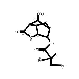 CC(C)CC(C)(C(=O)OC1C2CC3C1OC(=O)C3C2C(=O)O)C(C)C